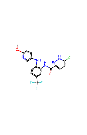 COc1ccc(Nc2ccc(C(F)(F)F)cc2NC(=O)C2=CC=C(Cl)NN2)cn1